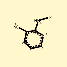 CCCNc1ncccc1C#N